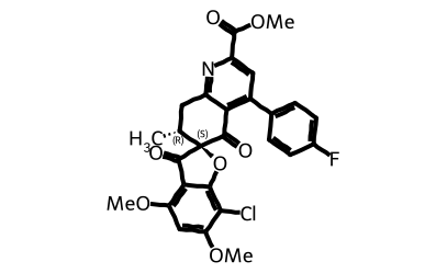 COC(=O)c1cc(-c2ccc(F)cc2)c2c(n1)C[C@@H](C)[C@]1(Oc3c(Cl)c(OC)cc(OC)c3C1=O)C2=O